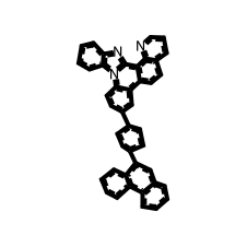 c1ccc2c(c1)cc(-c1ccc(-c3ccc4c(c3)c3ccc5cccnc5c3c3nc5ccccc5n43)cc1)c1ccccc12